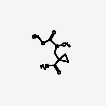 CN(CC1(C(N)=O)CC1)C(=O)OC(C)(C)C